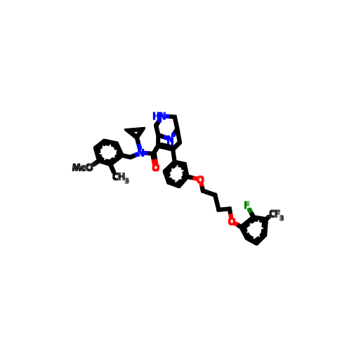 COc1cccc(CN(C(=O)C2=C(c3cccc(OCCCCOc4cccc(C(F)(F)F)c4F)c3)CC3CNCC2N3)C2CC2)c1C